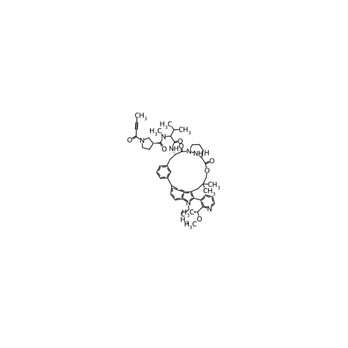 CC#CC(=O)N1CC[C@H](C(=O)N(C)C(C(=O)N[C@H]2Cc3cccc(c3)-c3ccc4c(c3)c(c(-c3cccnc3[C@H](C)OC)n4CC)CC(C)(C)COC(=O)[C@@H]3CCCN(N3)C2=O)C(C)C)C1